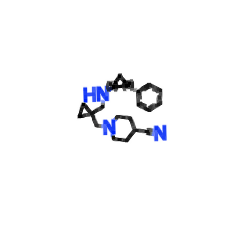 N#CC1CCN(CC2(CN[C@H]3C[C@@H]3c3ccccc3)CC2)CC1